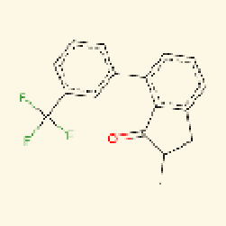 CC1Cc2cccc(-c3cccc(C(F)(F)F)c3)c2C1=O